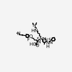 CCN(CC)CCNCCCCCN(c1cc(C)c(Nc2nc3ccccc3s2)nn1)c1nc(C(=O)O)c(CCCOc2ccc(C#CCN(C)C)cc2F)s1